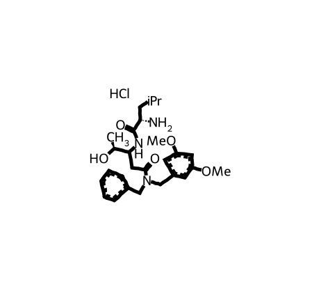 COc1cc(CN(Cc2ccccc2)C(=O)CC(NC(=O)[C@@H](N)CC(C)C)[C@H](C)O)cc(OC)c1.Cl